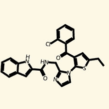 CCc1cc(C(=O)c2ccccc2Cl)c(-n2ccnc2CNC(=O)c2cc3ccccc3[nH]2)s1